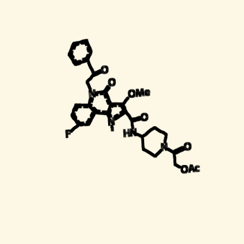 COc1c(C(=O)NC2CCN(C(=O)COC(C)=O)CC2)n(C)c2c1c(=O)n(CC(=O)c1ccccc1)c1ccc(F)cc21